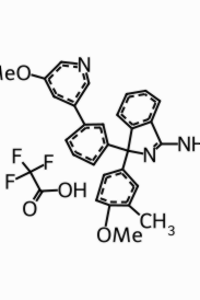 COc1cncc(-c2cccc(C3(c4ccc(OC)c(C)c4)N=C(N)c4ccccc43)c2)c1.O=C(O)C(F)(F)F